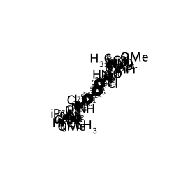 COC(=O)N[C@H](C(=O)N1[C@H](C)[C@H](C)C[C@H]1c1nc(Cl)c(-c2ccc(-c3ccc4cc(-c5[nH]c([C@@H]6C[C@@H](C)[C@@H](C)N6C(=O)[C@@H](NC(=O)OC)C(C)C)nc5Cl)ccc4c3)cc2)[nH]1)C(C)C